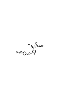 C#CCO[C@H](c1ccc(C)c(COCc2ccc(OC)cc2)c1)C(C)(C)C(=O)OC